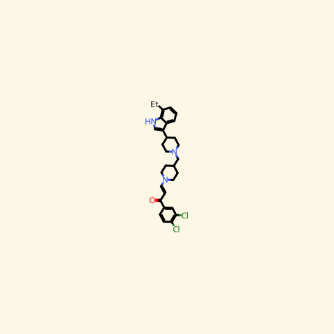 CCc1cccc2c(C3CCN(CC4CCN(/C=C/C(=O)c5ccc(Cl)c(Cl)c5)CC4)CC3)c[nH]c12